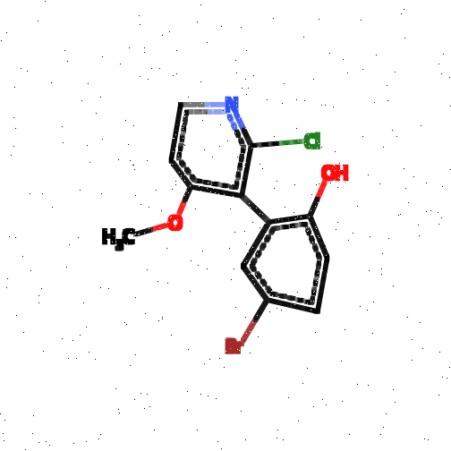 COc1ccnc(Cl)c1-c1cc(Br)ccc1O